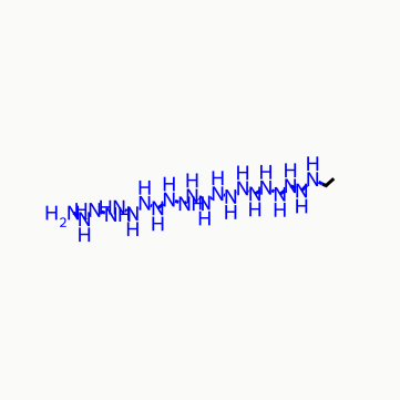 CCNNNNNNNNNNNNNNNNNNNNN